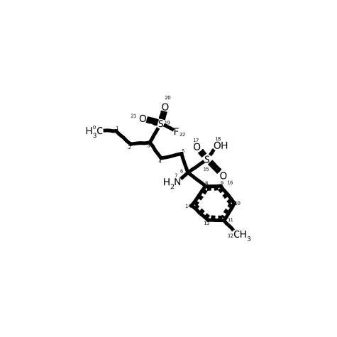 CCCC(CCC(N)(c1ccc(C)cc1)S(=O)(=O)O)S(=O)(=O)F